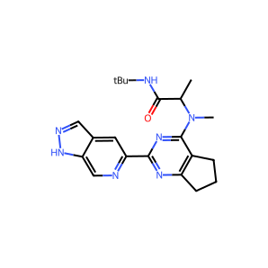 CC(C(=O)NC(C)(C)C)N(C)c1nc(-c2cc3cn[nH]c3cn2)nc2c1CCC2